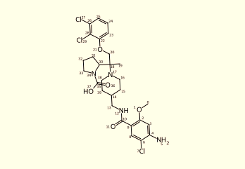 COc1cc(N)c(Cl)cc1C(=O)NCC1CCN(C(C)(COc2cccc(Cl)c2Cl)C2CCCN2C(=O)O)CC1